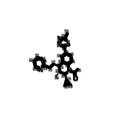 CC(=O)N1c2ccc(-c3nnc(C)s3)cc2[C@H](CCc2ncccn2)[C@@H](C)[C@@H]1C1CC1